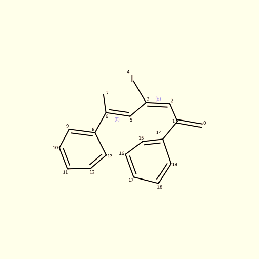 C=C(/C=C(I)\C=C(/C)c1ccccc1)c1ccccc1